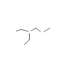 [CH2]COCP(CC(F)(F)F)CC(F)(F)F